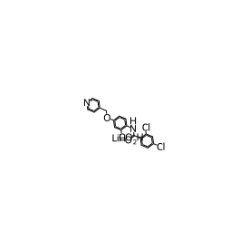 O=C(Nc1ccc(OCc2ccncc2)cc1C(=O)O)c1ccc(Cl)cc1Cl.[LiH]